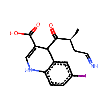 C[C@@H](CC=N)C(=O)C1C(C(=O)O)=CNc2ccc(I)cc21